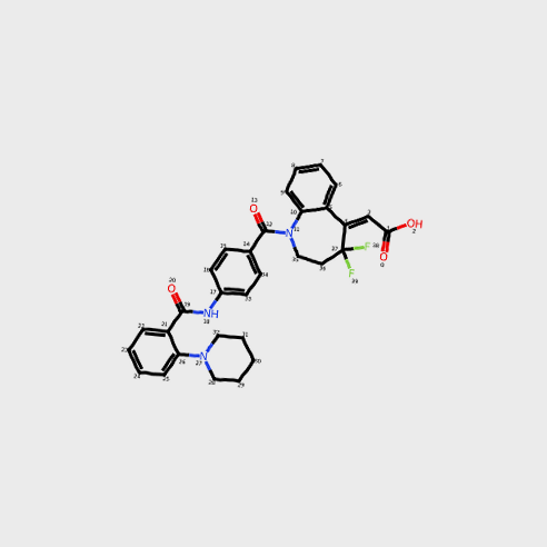 O=C(O)C=C1c2ccccc2N(C(=O)c2ccc(NC(=O)c3ccccc3N3CCCCC3)cc2)CCC1(F)F